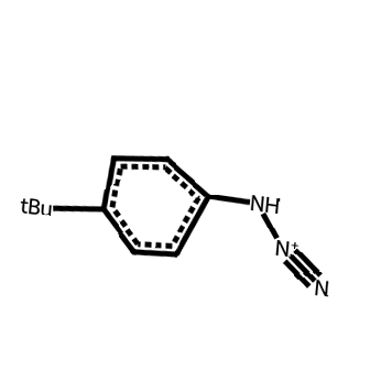 CC(C)(C)c1ccc(N[N+]#N)cc1